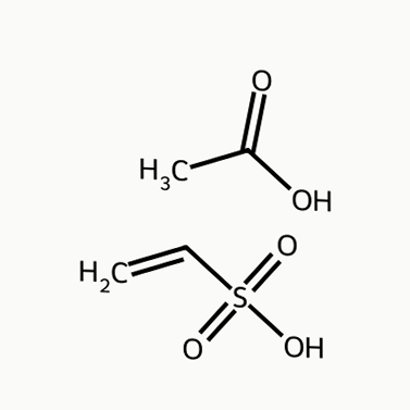 C=CS(=O)(=O)O.CC(=O)O